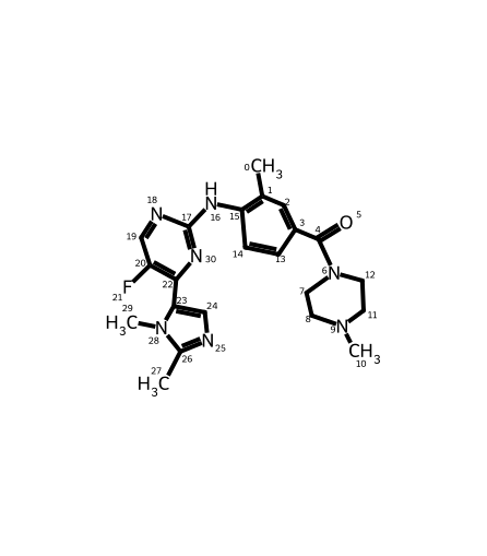 Cc1cc(C(=O)N2CCN(C)CC2)ccc1Nc1ncc(F)c(-c2cnc(C)n2C)n1